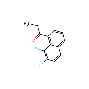 CCC(=O)c1cccc2ccc(F)c(F)c12